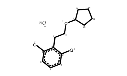 Cl.Clc1cccc(Cl)c1CCOC1CCCC1